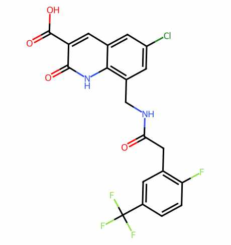 O=C(Cc1cc(C(F)(F)F)ccc1F)NCc1cc(Cl)cc2cc(C(=O)O)c(=O)[nH]c12